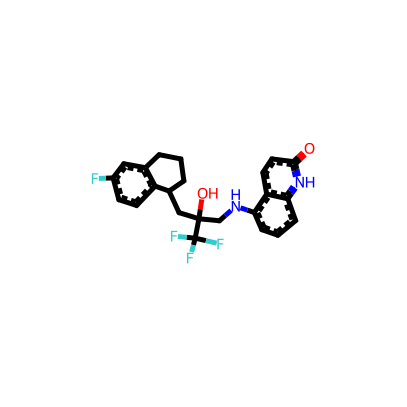 O=c1ccc2c(NCC(O)(CC3CCCc4cc(F)ccc43)C(F)(F)F)cccc2[nH]1